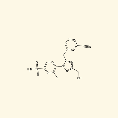 N#Cc1cccc(Cc2nc(CO)nn2-c2ccc(S(N)(=O)=O)cc2F)c1